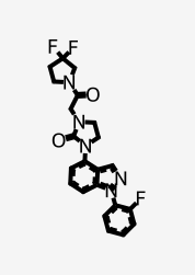 O=C(CN1CCN(c2cccc3c2cnn3-c2ccccc2F)C1=O)N1CCC(F)(F)C1